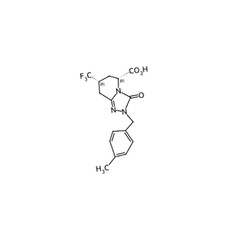 Cc1ccc(Cn2nc3n(c2=O)[C@@H](C(=O)O)C[C@@H](C(F)(F)F)C3)cc1